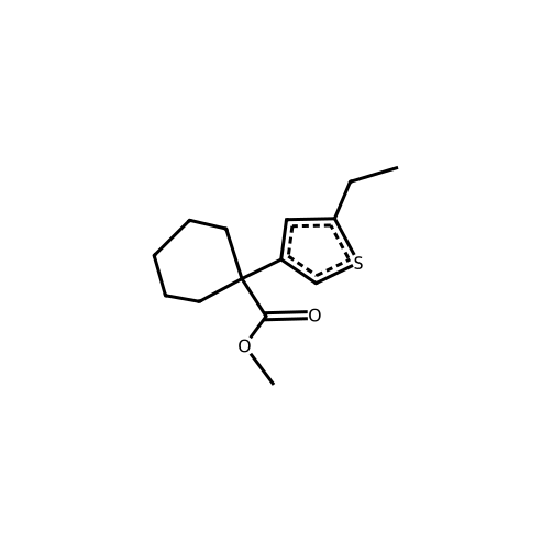 CCc1cc(C2(C(=O)OC)CCCCC2)cs1